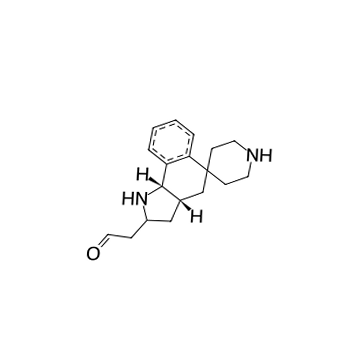 O=CCC1C[C@H]2CC3(CCNCC3)c3ccccc3[C@H]2N1